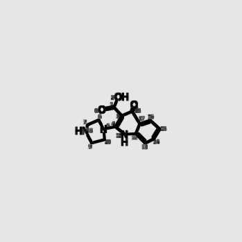 O=C(O)c1c(N2CCNCC2)[nH]c2ccccc2c1=O